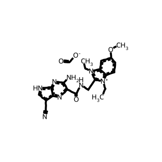 CCn1c(CNC(=O)c2nc3c(C#N)c[nH]c3nc2N)[n+](CC)c2ccc(OC)cc21.O=C[O-]